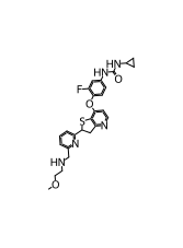 COCCNCc1cccc(C2Cc3nccc(Oc4ccc(NC(=O)NC5CC5)cc4F)c3S2)n1